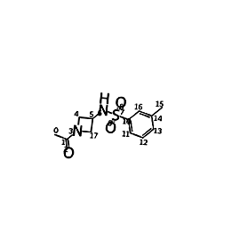 CC(=O)N1CC(NS(=O)(=O)c2cccc(C)c2)C1